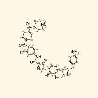 Cc1nn(Cc2ccc(N)cn2)cc1-c1ccc(-c2cnc(C(=O)Nc3ccc(C(=O)N4CCN(C(=O)C5CC[N+](C)(C)CC5)CC4)c(Cl)c3)n2C)c(F)c1F